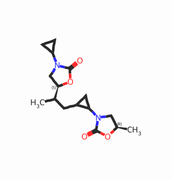 CC(CC1CC1N1C[C@@H](C)OC1=O)[C@H]1CN(C2CC2)C(=O)O1